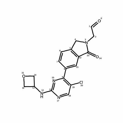 O=CCN1Cc2ccc(-c3nc(NC4COC4)ncc3Cl)cc2C1=O